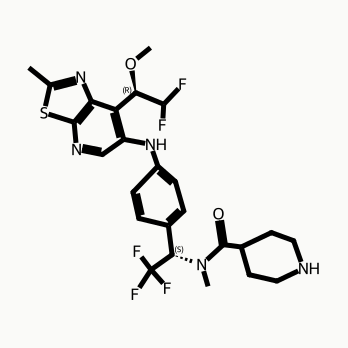 CO[C@H](c1c(Nc2ccc([C@H](N(C)C(=O)C3CCNCC3)C(F)(F)F)cc2)cnc2sc(C)nc12)C(F)F